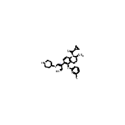 CC1CCc2c(ccc(/C(C=N)=C/NC3CCNCC3)c2Oc2cccc(Cl)n2)N1C(=O)C1CC1